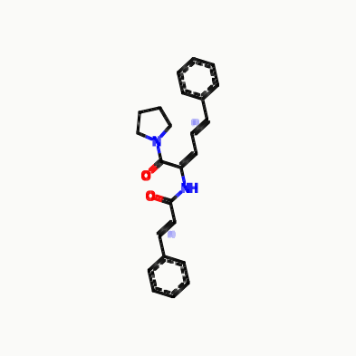 O=C(/C=C/c1ccccc1)NC(=C/C=C/c1ccccc1)C(=O)N1CCCC1